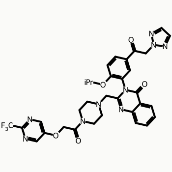 CC(C)Oc1ccc(C(=O)Cn2nccn2)cc1-n1c(CN2CCN(C(=O)COc3cnc(C(F)(F)F)nc3)CC2)nc2ccccc2c1=O